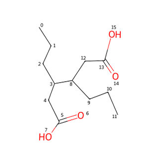 CCCC(CC(=O)O)C(CCC)CC(=O)O